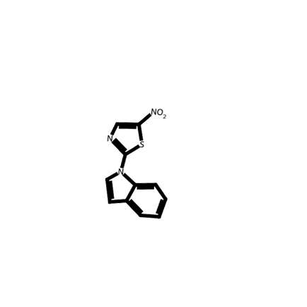 O=[N+]([O-])c1cnc(-n2ccc3ccccc32)s1